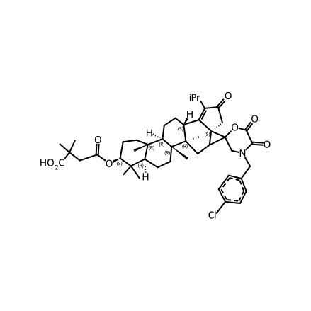 CC(C)C1=C2[C@H]3CC[C@@H]4[C@@]5(C)CC[C@H](OC(=O)CC(C)(C)C(=O)O)C(C)(C)[C@@H]5CC[C@@]4(C)[C@]3(C)CC3C4(CN(Cc5ccc(Cl)cc5)C(=O)C(=O)O4)[C@]23CC1=O